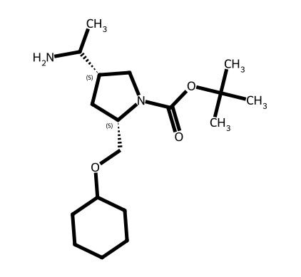 CC(N)[C@H]1C[C@@H](COC2CCCCC2)N(C(=O)OC(C)(C)C)C1